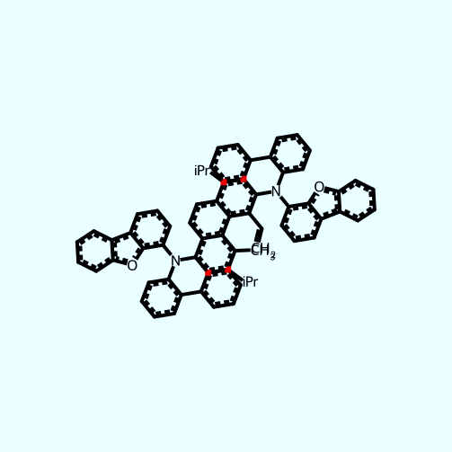 C=Cc1c(N(c2ccccc2-c2ccccc2)c2cccc3c2oc2ccccc23)cc(C(C)C)c2ccc3c(N(c4ccccc4-c4ccccc4)c4cccc5c4oc4ccccc45)cc(C(C)C)c(C)c3c12